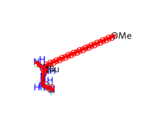 COCCOCCOCCOCCOCCOCCOCCOCCOCCOCCOCCOCCOCCOCCOCCOCCOCCOCCOCCOCCOCCOCCOCCC(=O)O[C@@H]1C[C@@H](C(=O)NCc2ccc(-c3scnc3C)cc2)N(C(=O)[C@@H](NC(=O)COCCN2CCN(c3ccc(-c4cnc5[nH]cc(C(=O)c6c(F)ccc(NS(=O)(=O)N7CC[C@@H](F)C7)c6F)c5c4)cc3)CC2)C(C)(C)C)C1